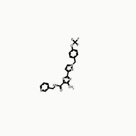 Cc1nc(-c2ccn(Cc3ccc(OC(F)(F)F)cc3)n2)sc1C(=O)NCc1cccnc1